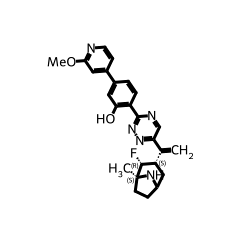 C=C(c1cnc(-c2ccc(-c3ccnc(OC)c3)cc2O)nn1)[C@@H]1CC2CC[C@](C)(N2)[C@@H]1F